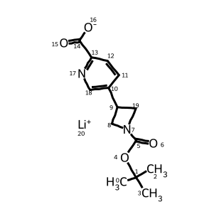 CC(C)(C)OC(=O)N1CC(c2ccc(C(=O)[O-])nc2)C1.[Li+]